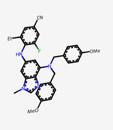 CCc1cc(C#N)cc(F)c1Nc1cc(N(Cc2ccc(OC)cc2)Cc2ccc(OC)cc2)c2ncn(C)c2c1